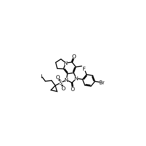 Cc1c(=O)n2c(c3c1n(-c1ccc(Br)cc1F)c(=O)n3S(=O)(=O)C1(CCI)CC1)CCC2